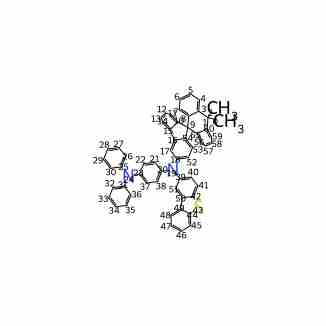 CC1(C)c2ccccc2C2(c3ccccc3-c3cc(N(c4ccc(N(c5ccccc5)c5ccccc5)cc4)c4ccc5sc6ccccc6c5c4)ccc32)c2ccccc21